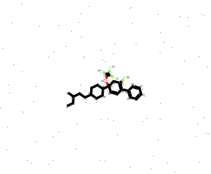 CCC(C)CCC1CCC(C2(OC(F)(F)F)C=CC(c3ccccc3)=C(F)C2)CC1